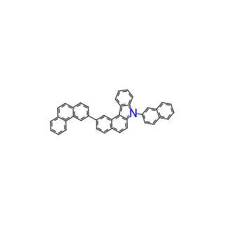 c1ccc2cc(-n3c4ccccc4c4c5cc(-c6ccc7ccc8ccccc8c7c6)ccc5ccc43)ccc2c1